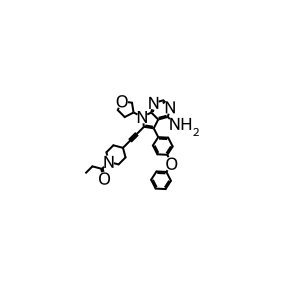 CCC(=O)N1CCC(C#Cc2c(-c3ccc(Oc4ccccc4)cc3)c3c(N)ncnc3n2C2CCOC2)CC1